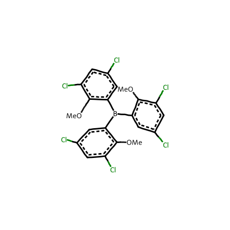 COc1c(Cl)cc(Cl)cc1B(c1cc(Cl)cc(Cl)c1OC)c1cc(Cl)cc(Cl)c1OC